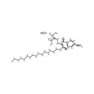 CCCCCCCCCCCCCCCCCc1nc2cc(N)ccc2c(=O)n1CCN(C(C)C)C(C)C.Cl